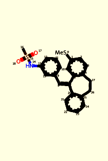 CSc1ccc2c(c1)C(=Cc1cccc(NS(C)(=O)=O)c1)c1ccccc1CC2